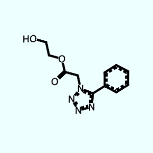 O=C(Cn1nnnc1-c1ccccc1)OCCO